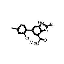 COC(=O)c1cc(-c2ccc(C)cc2Cl)cc2[nH]c(Br)nc12